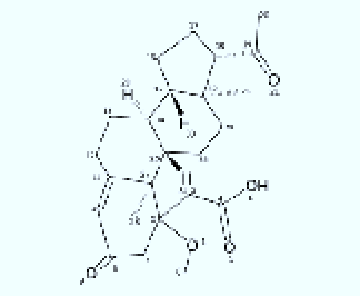 COC1(CC(=O)O)CC(=O)C=C2CC[C@H]3[C@@H]4CC[C@H](C(C)=O)[C@@]4(C)CC[C@@H]3[C@]21C